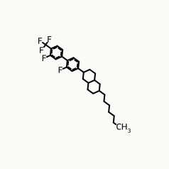 CCCCCCCC1CCC2CC(c3ccc(-c4ccc(C(F)(F)F)c(F)c4)c(F)c3)CCC2C1